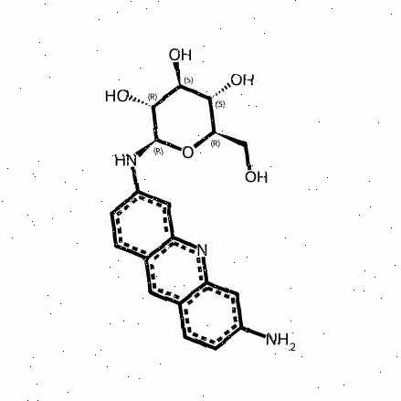 Nc1ccc2cc3ccc(N[C@@H]4O[C@H](CO)[C@@H](O)[C@H](O)[C@H]4O)cc3nc2c1